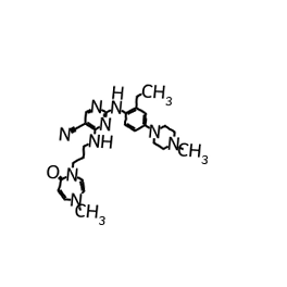 CCc1cc(N2CCN(C)CC2)ccc1Nc1ncc(C#N)c(NCCCN2C=CN(C)C=CC2=O)n1